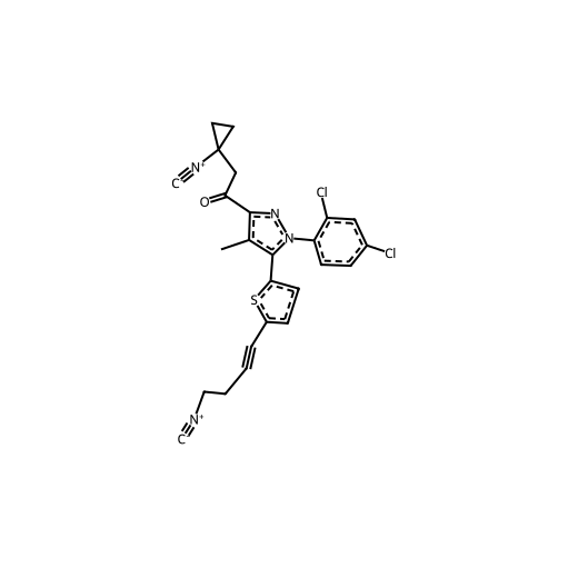 [C-]#[N+]CCC#Cc1ccc(-c2c(C)c(C(=O)CC3([N+]#[C-])CC3)nn2-c2ccc(Cl)cc2Cl)s1